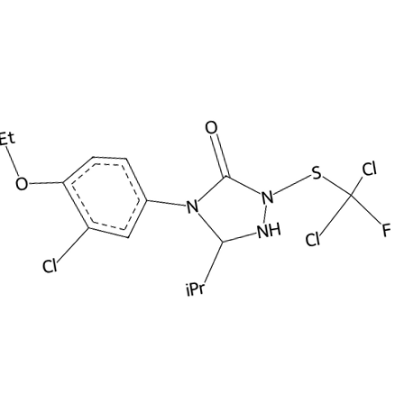 CCOc1ccc(N2C(=O)N(SC(F)(Cl)Cl)NC2C(C)C)cc1Cl